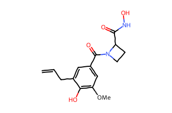 C=CCc1cc(C(=O)N2CCC2C(=O)NO)cc(OC)c1O